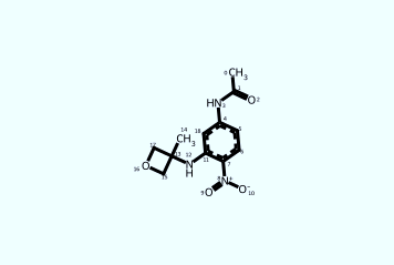 CC(=O)Nc1ccc([N+](=O)[O-])c(NC2(C)COC2)c1